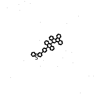 c1ccc2c(c1)sc1ccc(-c3ccc(-c4c5ccccc5c(-c5cc6c7ccccc7c7ccccc7c6c6ccccc56)c5ccccc45)cc3)cc12